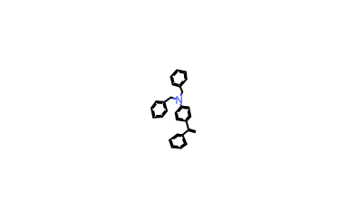 C=C(c1ccccc1)c1ccc(N(Cc2ccccc2)Cc2ccccc2)cc1